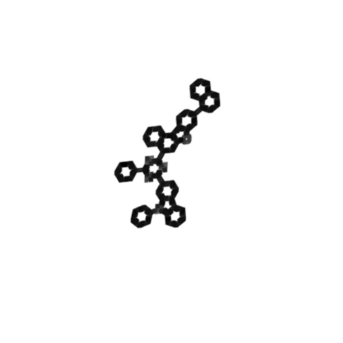 c1ccc(-c2nc(-c3ccc4c5ccccc5n(-c5ccccc5)c4c3)nc(-c3cc4oc5cc(-c6cccc7ccccc67)ccc5c4c4ccccc34)n2)cc1